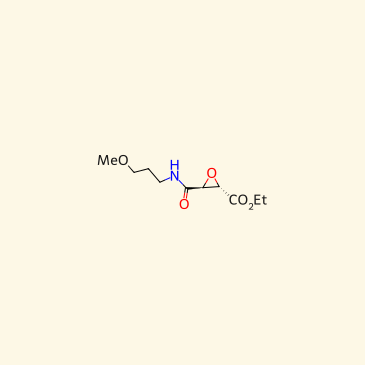 CCOC(=O)[C@H]1O[C@@H]1C(=O)NCCCOC